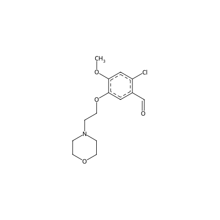 COc1cc(Cl)c(C=O)cc1OCCN1CCOCC1